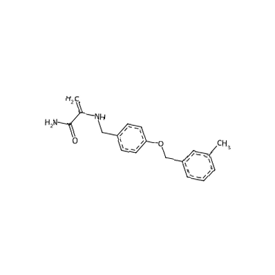 C=C(NCc1ccc(OCc2cccc(C)c2)cc1)C(N)=O